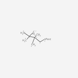 CCCCCCC(C)(C)C(C)(C)N